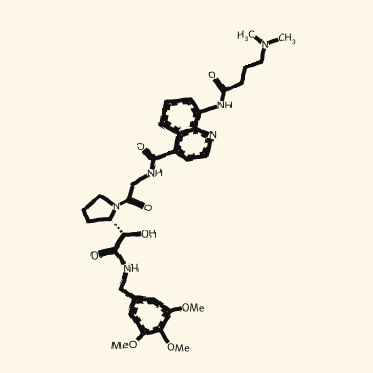 COc1cc(CNC(=O)C(O)[C@@H]2CCCN2C(=O)CNC(=O)c2ccnc3c(NC(=O)CCCN(C)C)cccc23)cc(OC)c1OC